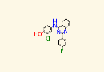 Oc1ccc(Nc2nc(-c3ccc(F)cc3)nc3ccccc23)cc1Cl